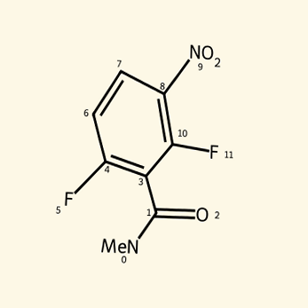 CNC(=O)c1c(F)ccc([N+](=O)[O-])c1F